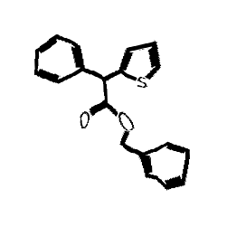 O=C(OCc1ccccc1)C(c1ccccc1)c1cccs1